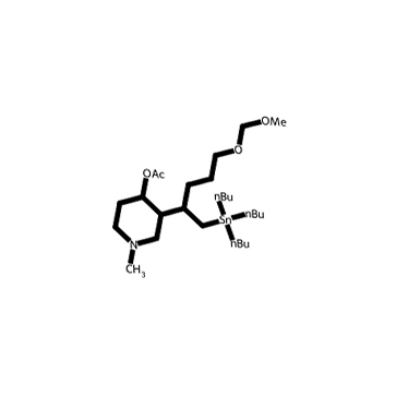 CCC[CH2][Sn]([CH2]CCC)([CH2]CCC)[CH2]C(CCCOCOC)C1CN(C)CCC1OC(C)=O